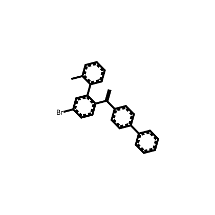 C=C(c1ccc(-c2ccccc2)cc1)c1ccc(Br)cc1-c1ccccc1C